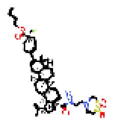 C=C(C)[C@@H]1CC[C@]2(C(=O)NCCN3CCS(=O)(=O)CC3)CC[C@]3(C)[C@H](CC[C@@H]4[C@@]5(C)CC=C(C6=CC[C@@](CF)(C(=O)OCCCC)CC6)C(C)(C)[C@@H]5CC[C@]43C)[C@@H]12